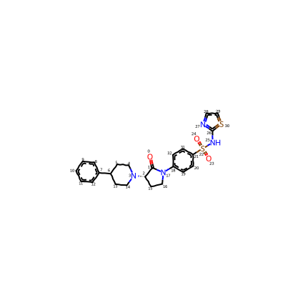 O=C1[C@@H](N2CCC(c3ccccc3)CC2)CCN1c1ccc(S(=O)(=O)Nc2nccs2)cc1